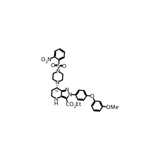 CCOC(=O)c1c2c(nn1-c1ccc(Oc3cccc(OC)c3)cc1)[C@@H](N1CCN(S(=O)(=O)c3ccccc3[N+](=O)[O-])CC1)CCN2